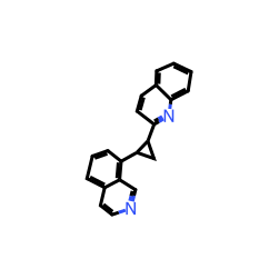 c1ccc2nc(C3CC3c3cccc4ccncc34)ccc2c1